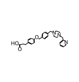 O=C(O)CCc1ccc(OCc2ccc(CN3CCN(Cc4ccccn4)CC3)cc2)cc1